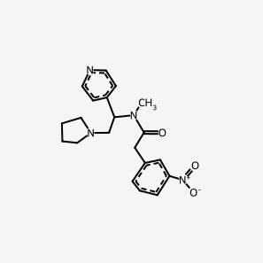 CN(C(=O)Cc1cccc([N+](=O)[O-])c1)C(CN1CCCC1)c1ccncc1